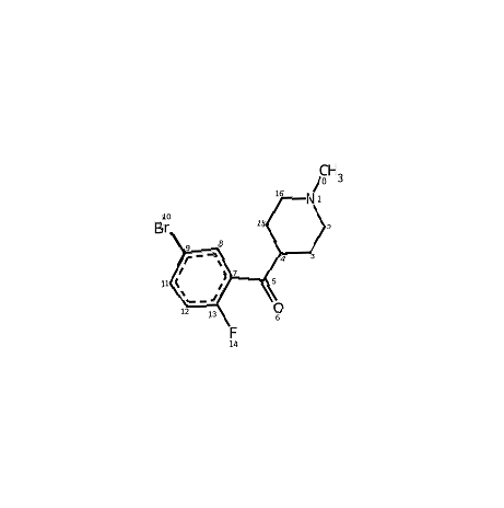 CN1CCC(C(=O)c2cc(Br)ccc2F)CC1